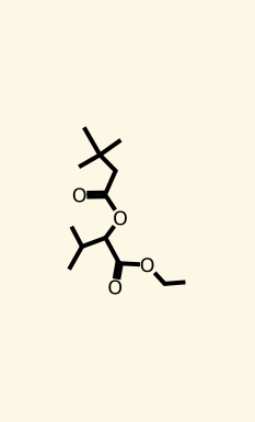 CCOC(=O)C(OC(=O)CC(C)(C)C)C(C)C